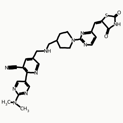 CN(C)c1ncc(-c2ncc(CNCC3CCN(c4nccc(C=C5SC(=O)NC5=O)n4)CC3)cc2C#N)cn1